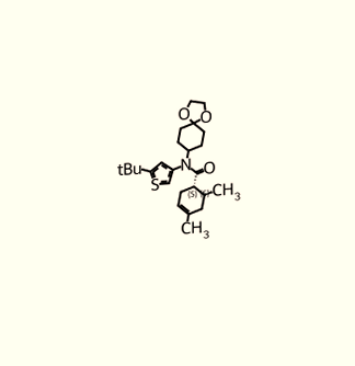 CC1=CC[C@H](C(=O)N(c2csc(C(C)(C)C)c2)C2CCC3(CC2)OCCO3)[C@@H](C)C1